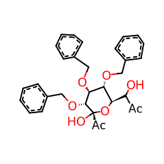 CC(=O)C(O)[C@H]1O[C@@](O)(C(C)=O)[C@H](OCc2ccccc2)[C@@H](OCc2ccccc2)[C@@H]1OCc1ccccc1